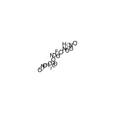 COc1cc2c(Oc3ccc(NC(=O)C4CCN(c5ccccc5)C4=O)cc3F)ccnc2cc1OCCCN1CCOCC1